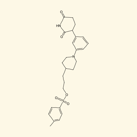 Cc1ccc(S(=O)(=O)OCCCC2CCN(c3cccc(C4CCC(=O)NC4=O)c3)CC2)cc1